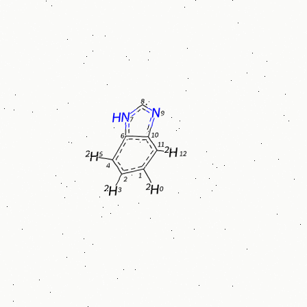 [2H]c1c([2H])c([2H])c2[nH][c]nc2c1[2H]